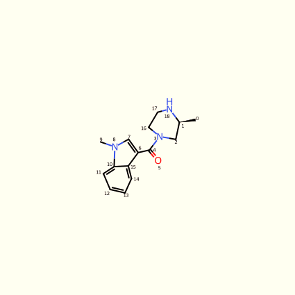 C[C@H]1CN(C(=O)c2cn(C)c3ccccc23)CCN1